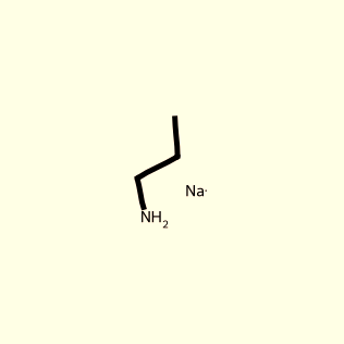 CCCN.[Na]